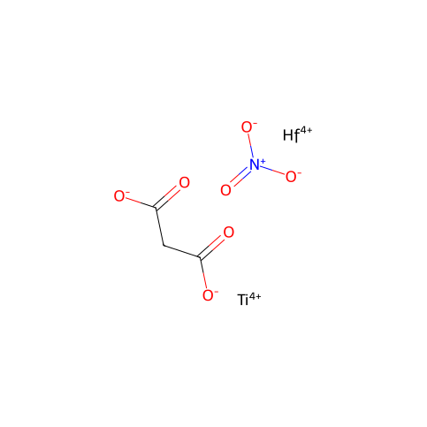 O=C([O-])CC(=O)[O-].O=[N+]([O-])[O-].[Hf+4].[Ti+4]